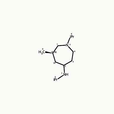 CC(C)NC1CCN(C(C)C)C[C@H](C)C1